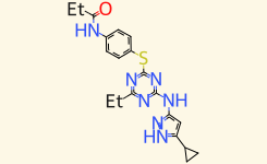 CCC(=O)Nc1ccc(Sc2nc(CC)nc(Nc3cc(C4CC4)[nH]n3)n2)cc1